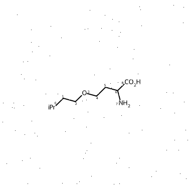 CC(C)CCOCCC(N)C(=O)O